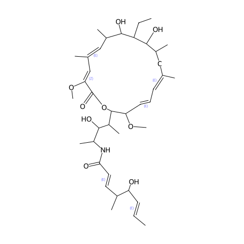 C/C=C/C(O)C(C)/C=C/C(=O)NC(C)C(O)C(C)C1OC(=O)/C(OC)=C/C(C)=C/C(C)C(O)C(CC)C(O)C(C)C/C(C)=C/C=C/C1OC